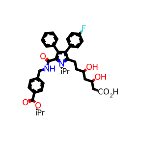 CC(C)OC(=O)c1ccc(CNC(=O)c2c(-c3ccccc3)c(-c3ccc(F)cc3)c(CCC(O)CC(O)CC(=O)O)n2C(C)C)cc1